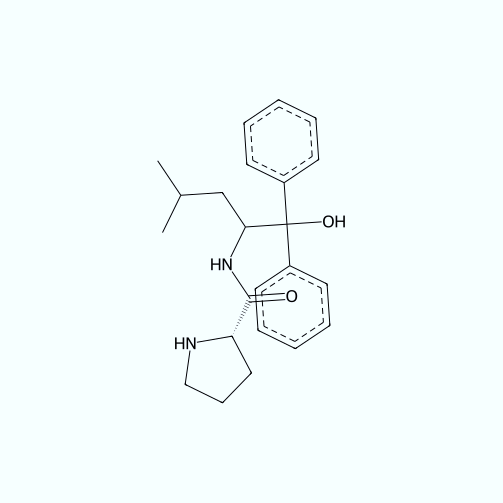 CC(C)CC(NC(=O)[C@@H]1CCCN1)C(O)(c1ccccc1)c1ccccc1